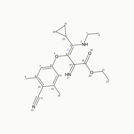 CCN/C(=C(/Oc1cc(C)c(C#N)c(C)c1)C(=N)C(=O)OCC)C1CC1